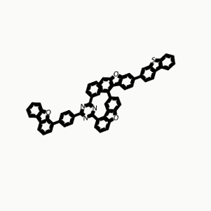 c1ccc(-c2nc(-c3ccc(-c4cccc5c4oc4ccccc45)cc3)nc(-c3cccc4oc5ccc(-c6cccc7oc8cc(-c9ccc%10c(c9)sc9ccccc9%10)ccc8c67)cc5c34)n2)cc1